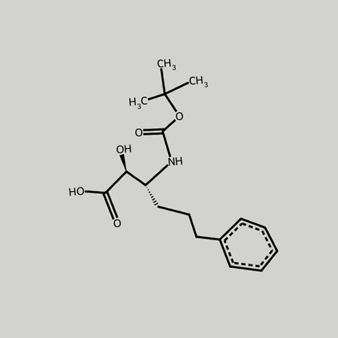 CC(C)(C)OC(=O)N[C@H](CCCc1ccccc1)[C@H](O)C(=O)O